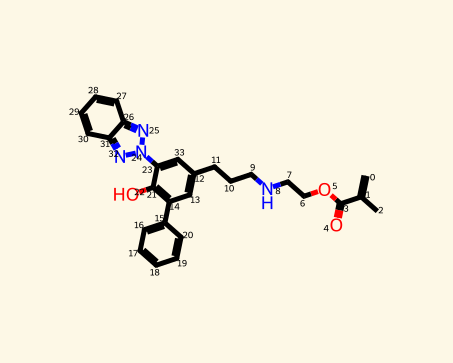 C=C(C)C(=O)OCCNCCCc1cc(-c2ccccc2)c(O)c(-n2nc3ccccc3n2)c1